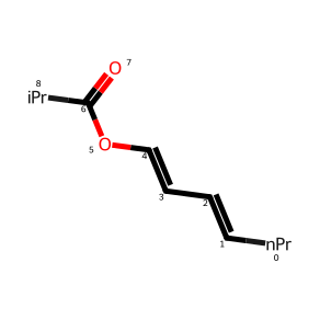 CCCC=CC=COC(=O)C(C)C